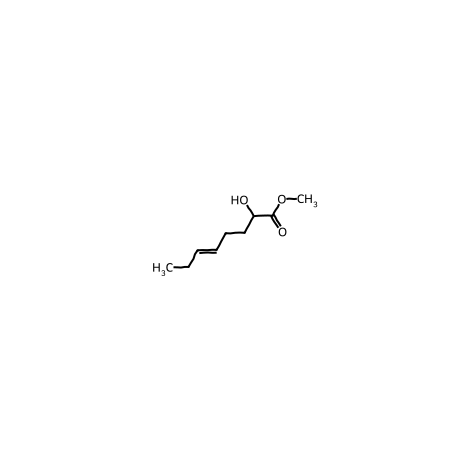 CC/C=C/CCC(O)C(=O)OC